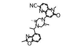 Cc1nc2c(C(C)N3C[C@H](C)N(c4cc(=O)n(C)c5ccc(C#N)nc45)C[C@H]3C)cccc2o1